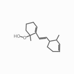 CC1C=CCCC1C=CC1=CCCCC1(C)OO